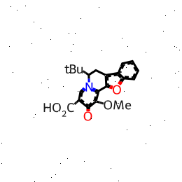 COc1c2n(cc(C(=O)O)c1=O)C(C(C)(C)C)Cc1c-2oc2ccccc12